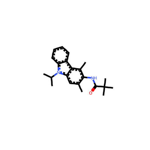 Cc1cc2c(c(C)c1NC(=O)C(C)(C)C)c1ccccc1n2C(C)C